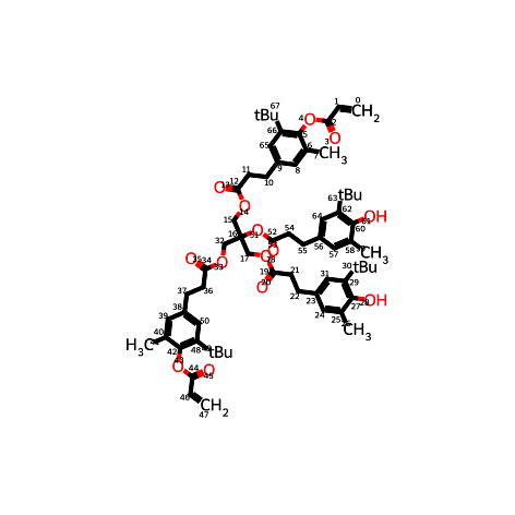 C=CC(=O)Oc1c(C)cc(CCC(=O)OCC(COC(=O)CCc2cc(C)c(O)c(C(C)(C)C)c2)(COC(=O)CCc2cc(C)c(OC(=O)C=C)c(C(C)(C)C)c2)OC(=O)CCc2cc(C)c(O)c(C(C)(C)C)c2)cc1C(C)(C)C